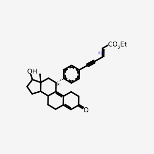 CCOC(=O)/C=C/C#Cc1ccc([C@H]2CC3(C)C(O)CCC3C3CCC4=CC(=O)CCC4=C32)cc1